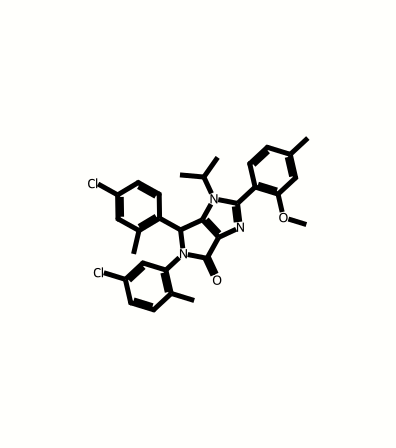 COc1cc(C)ccc1-c1nc2c(n1C(C)C)C(c1ccc(Cl)cc1C)N(c1cc(Cl)ccc1C)C2=O